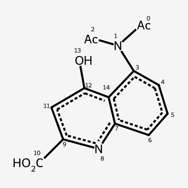 CC(=O)N(C(C)=O)c1cccc2nc(C(=O)O)cc(O)c12